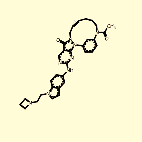 CC(=O)N1CCC/C=C\Cn2c(=O)c3cnc(Nc4ccc5c(ccn5CCN5CCC5)c4)nc3n2-c2cccc1c2